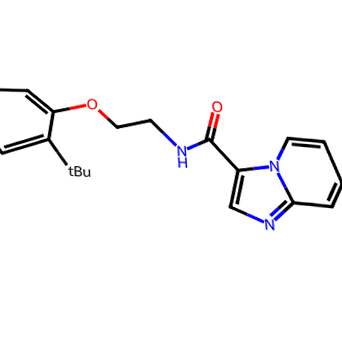 CC(C)(C)c1ccccc1OCCNC(=O)c1cnc2ccccn12